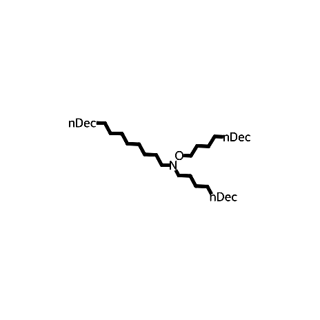 CCCCCCCCCCCCCCCCCCN(CCCCCCCCCCCCCC)OCCCCCCCCCCCCCC